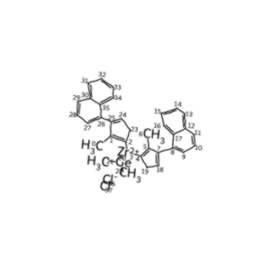 CC1=[C]([Zr+2]([C]2=C(C)C(c3cccc4ccccc34)=CC2)=[Ge]([CH3])[CH3])CC=C1c1cccc2ccccc12.[Cl-].[Cl-]